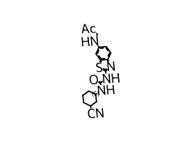 CC(=O)CNc1ccc2nc(NC(=O)N[C@H]3CCCC(C#N)C3)sc2c1